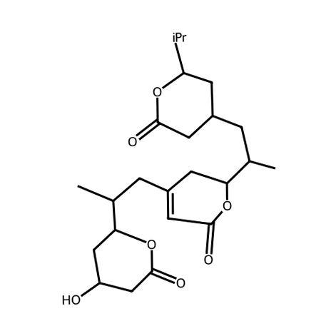 CC(C)C1CC(CC(C)C2CC(CC(C)C3CC(O)CC(=O)O3)=CC(=O)O2)CC(=O)O1